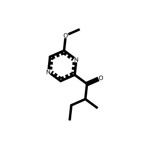 CCC(C)C(=O)c1cncc(OC)n1